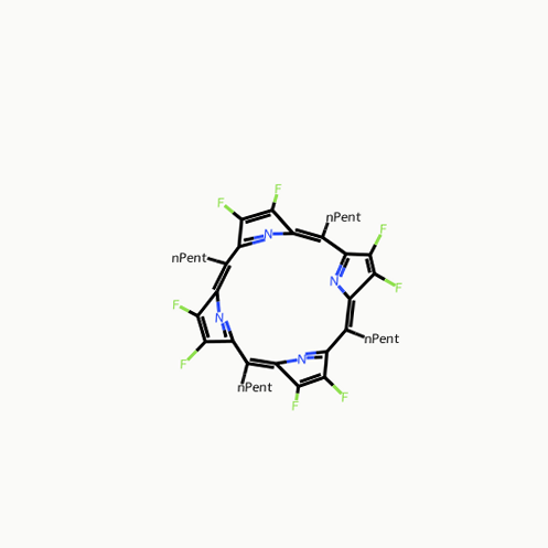 CCCCCC1=C2N=C(C(F)=C2F)C(CCCCC)=C2N=C(C(F)=C2F)C(CCCCC)=C2N=C(C(F)=C2F)C(CCCCC)=C2N=C1C(F)=C2F